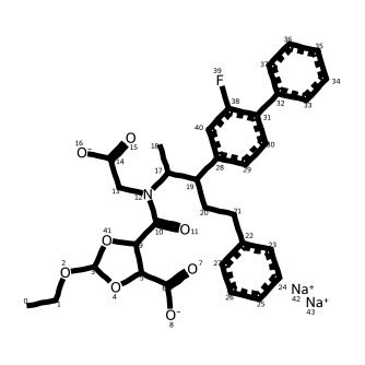 CCOC1OC(C(=O)[O-])C(C(=O)N(CC(=O)[O-])C(C)C(CCc2ccccc2)c2ccc(-c3ccccc3)c(F)c2)O1.[Na+].[Na+]